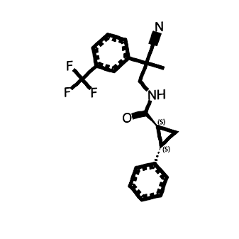 CC(C#N)(CNC(=O)[C@H]1C[C@@H]1c1ccccc1)c1cccc(C(F)(F)F)c1